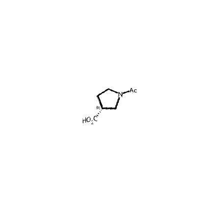 CC(=O)N1CC[C@@H](C(=O)O)C1